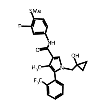 CSc1ccc(NC(=O)c2cn(CC3(O)CC3)c(-c3ccccc3C(F)(F)F)c2C)cc1F